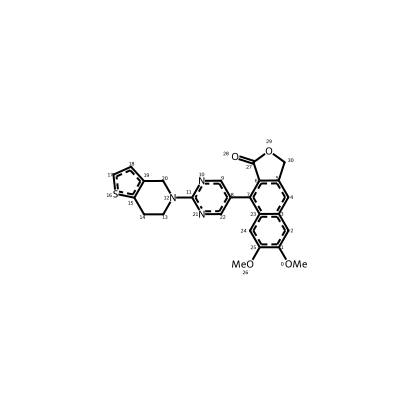 COc1cc2cc3c(c(-c4cnc(N5CCc6sccc6C5)nc4)c2cc1OC)C(=O)OC3